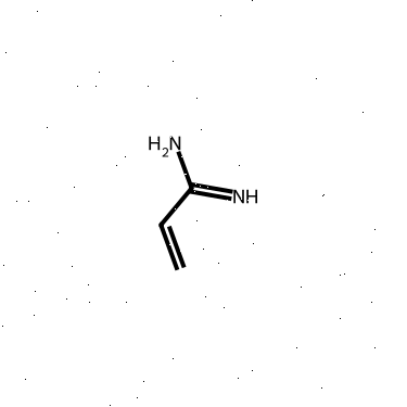 C=CC(=N)N